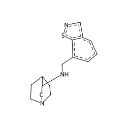 c1cc(CNC2CN3CCC2CC3)c2sncc2c1